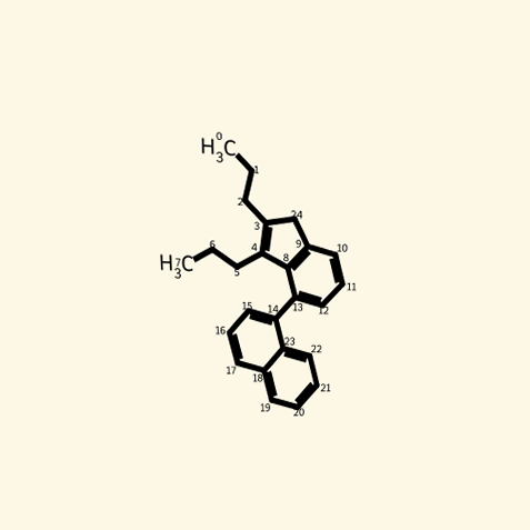 CCCC1=C(CCC)c2c(cccc2-c2cccc3ccccc23)[CH]1